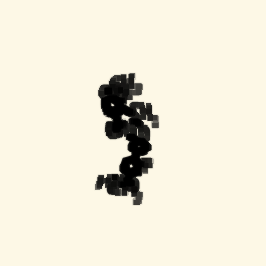 CCc1c(C(=O)N2CCOc3ccc(-c4ccc(C(=O)NC)cc4F)cc3C2)ccc(S(C)(=O)=O)c1F